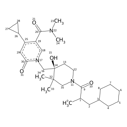 CC(CC1CCCCC1)C(=O)N1CC[C@@](O)(Cn2cc(C(=O)N(C)C)c(C3CC3)cc2=O)C(C)(C)C1